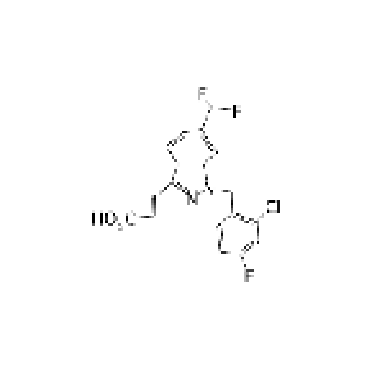 O=C(O)/C=C/c1nn(Cc2ccc(F)cc2Cl)c2cc(C(F)F)ccc12